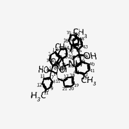 Cc1ccc(C(O)(c2ccc(C)cc2)[C@@H](Cc2ccccc2)NC(=O)C2(C(=O)N[C@H](Cc3ccccc3)C(O)(c3ccc(C)cc3)c3ccc(C)cc3)CCCC2)cc1